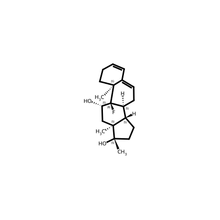 C[C@]1(O)CC[C@H]2[C@@H]3CC=C4C=CCC[C@]4(C)[C@@]3(F)[C@@H](O)C[C@@]21C